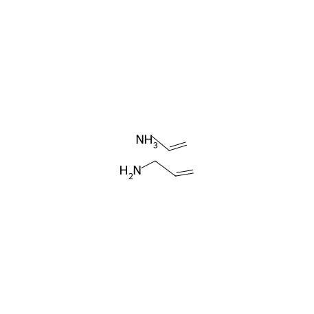 C=CC.C=CCN.N